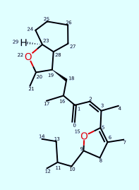 C=C(/C=C(/C)C1=C(C)CC(CC(C)CC)O1)C(C)C[C@H]1C(C)O[C@H]2CCCCC12